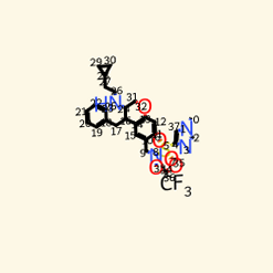 Cn1cnc(S(=O)(=O)N(Cc2ccc3c(c2)C(Cc2ccccc2)C(NCCC2CC2)CO3)OC(=O)C(F)(F)F)c1